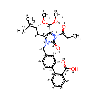 CCC(=O)n1c(C(OC)OC)c(CCC(C)C)n(Cc2ccc(-c3ccccc3C(=O)O)cc2)c1=O